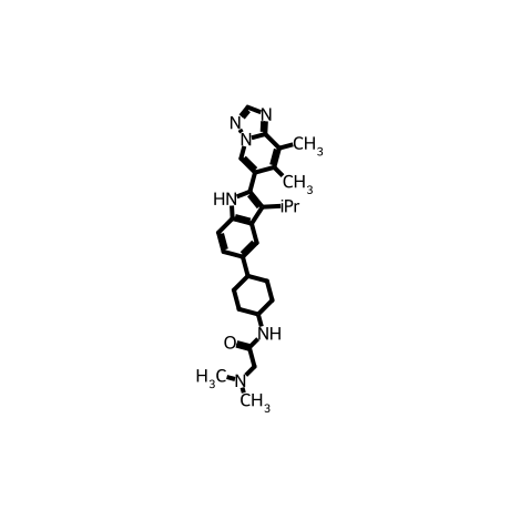 Cc1c(-c2[nH]c3ccc(C4CCC(NC(=O)CN(C)C)CC4)cc3c2C(C)C)cn2ncnc2c1C